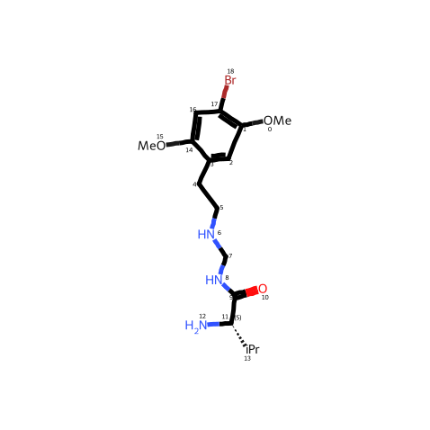 COc1cc(CCNCNC(=O)[C@@H](N)C(C)C)c(OC)cc1Br